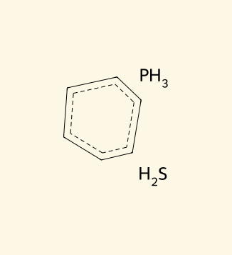 P.S.c1ccccc1